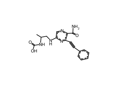 CC(CNc1cnc(C(N)=O)c(C#Cc2ccccc2)n1)NC(=O)O